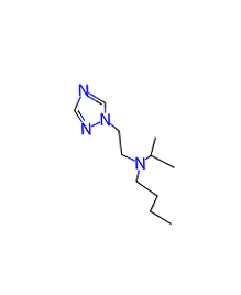 CCCCN(CCn1cncn1)C(C)C